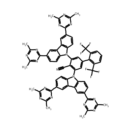 Cc1nc(C)nc(-c2ccc3c(c2)c2cc(-c4nc(C)nc(C)n4)ccc2n3-c2cc(-c3c(C(F)(F)F)cccc3C(F)(F)F)cc(-n3c4ccc(-c5nc(C)nc(C)n5)cc4c4cc(-c5nc(C)nc(C)n5)ccc43)c2C#N)n1